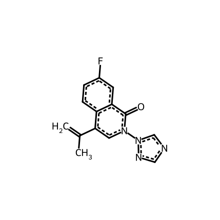 C=C(C)c1cn(-n2cncn2)c(=O)c2cc(F)ccc12